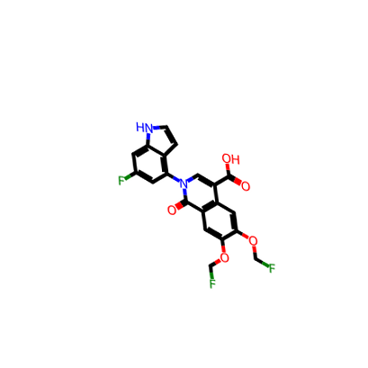 O=C(O)c1cn(-c2cc(F)cc3[nH]ccc23)c(=O)c2cc(OCF)c(OCF)cc12